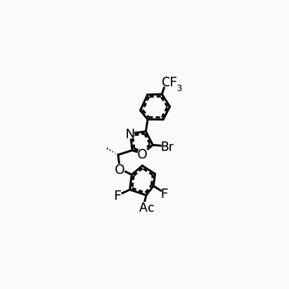 CC(=O)c1c(F)ccc(O[C@H](C)c2nc(-c3ccc(C(F)(F)F)cc3)c(Br)o2)c1F